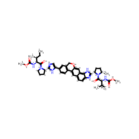 CC[C@H](C)[C@H](NC(=O)OC)C(=O)N1CCC[C@H]1c1ncc(-c2ccc3c(c2)COc2cc4c(ccc5nc([C@@H]6CC[C@H](C)N6C(=O)[C@@H](NC(=O)OC)C(C)C)[nH]c54)cc2-3)[nH]1